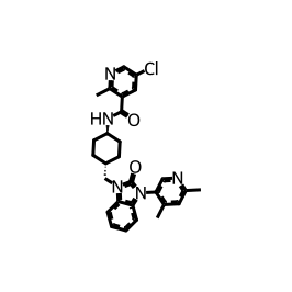 Cc1cc(C)c(-n2c(=O)n(C[C@H]3CC[C@H](NC(=O)c4cc(Cl)cnc4C)CC3)c3ccccc32)cn1